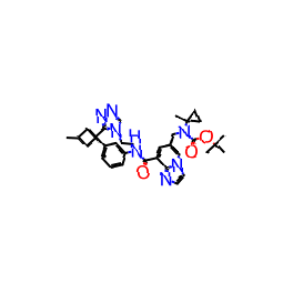 CCn1cnnc1C1(c2cccc(NC(=O)c3cc(CN(C(=O)OC(C)(C)C)C4(C)CC4)cn4ccnc34)c2)CC(C)C1